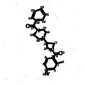 Cc1cc(Br)ccc1C(=O)N1CC(N2CCN(C(=O)c3ccccc3)CC2)C1